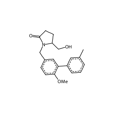 COc1ccc(CN2C(=O)CCC2CO)cc1-c1cccc(C)c1